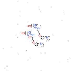 Cn1nc(C(C)(C)O)nc1NC(=O)CCCOc1cccc(CN2CCCCC2)c1.Cn1nc(C(C)(C)O)nc1NCCCCOc1cccc(CN2CCCCC2)c1